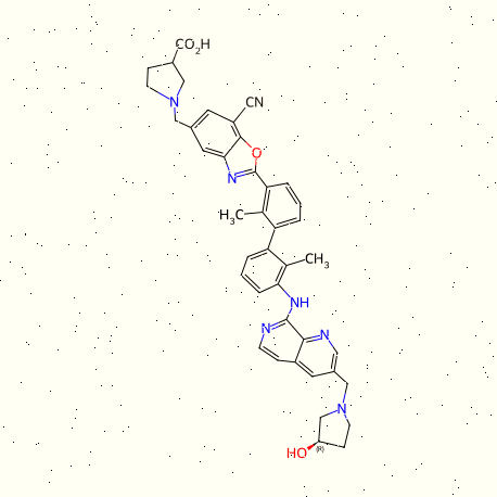 Cc1c(Nc2nccc3cc(CN4CC[C@@H](O)C4)cnc23)cccc1-c1cccc(-c2nc3cc(CN4CCC(C(=O)O)C4)cc(C#N)c3o2)c1C